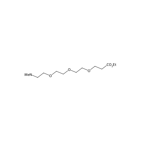 CCOC(=O)CCOCCOCCOCCNC